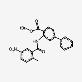 Cc1ccc([N+](=O)[O-])cc1C(=O)Nc1cc(-c2ccccc2)ccc1C(=O)OC(C)(C)C